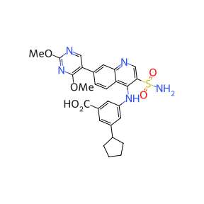 COc1ncc(-c2ccc3c(Nc4cc(C(=O)O)cc(C5CCCC5)c4)c(S(N)(=O)=O)cnc3c2)c(OC)n1